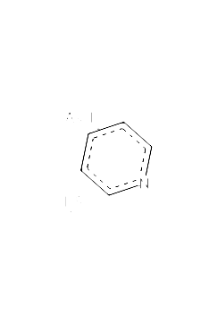 S.[AsH3].c1ccncc1